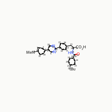 CNc1ccc(-c2cnc(-c3ccc(C[C@H](NC(=O)c4ccc(C(C)(C)C)cc4)C(=O)O)cc3)nc2)cc1